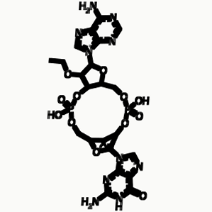 CCOC1C2OP(=O)(O)OCC3OC(n4cnc5c(=O)[nH]c(N)nc54)C(OP(=O)(O)OCC2OC1n1cnc2c(N)ncnc21)C3O